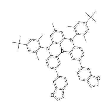 Cc1cc2c3c(c1)N(c1c(C)cc(C(C)(C)C)cc1C)c1ccc(-c4ccc5ccoc5c4)cc1B3c1cc(-c3ccc4ccoc4c3)ccc1N2c1c(C)cc(C(C)(C)C)cc1C